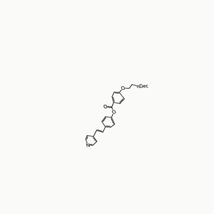 CCCCCCCCCCCCOc1ccc(C(=O)Oc2ccc(C=Cc3ccncc3)cc2)cc1